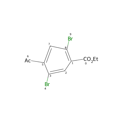 CCOC(=O)c1cc(Br)c(C(C)=O)cc1Br